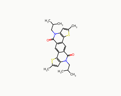 Cc1cc2c(s1)c1cc3c(=O)n(CC(C)C)c4cc(C)sc4c3cc1c(=O)n2CC(C)C